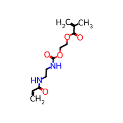 C=CC(=O)NCCNC(=O)OCCOC(=O)C(=C)C